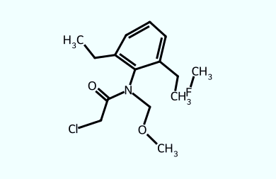 CCc1cccc(CC)c1N(COC)C(=O)CCl.CF